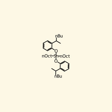 CCCCCCC[CH2][Sn]([CH2]CCCCCCC)([O]c1ccccc1C(C)CCCC)[O]c1ccccc1C(C)CCCC